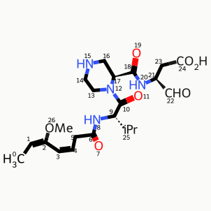 C/C=C(\C=C/CC(=O)N[C@H](C(=O)N1CCNC[C@H]1C(=O)N[C@H](C=O)CC(=O)O)C(C)C)OC